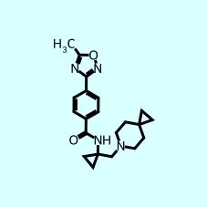 Cc1nc(-c2ccc(C(=O)NC3(CN4CCC5(CC4)CC5)CC3)cc2)no1